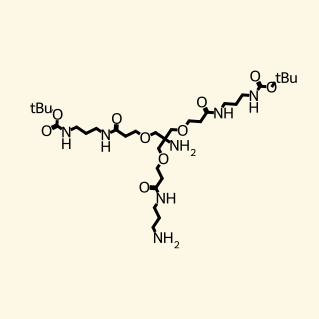 CC(C)(C)OC(=O)NCCCNC(=O)CCOCC(N)(COCCC(=O)NCCCN)COCCC(=O)NCCCNC(=O)OC(C)(C)C